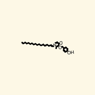 CCCCCCCCCCCCCCCCC=Cn1ccc(=O)c(OCc2ccc(O)cc2)c1C